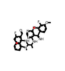 COc1ccc(C(=N)c2c(N)ncnc2NC(C)C(Nc2c(F)ccc(F)c2C=O)N(C)c2ccccc2)c(F)c1F